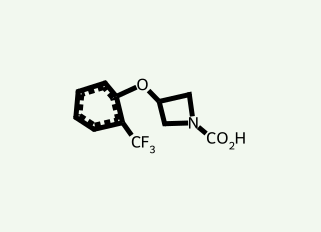 O=C(O)N1CC(Oc2ccccc2C(F)(F)F)C1